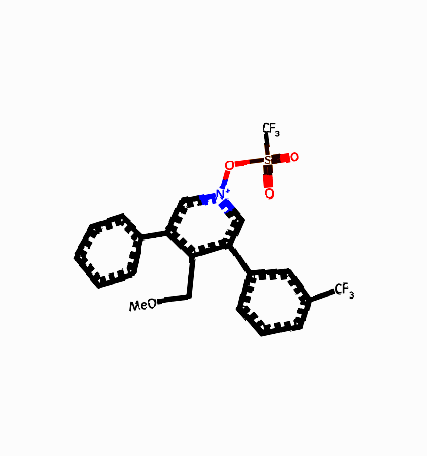 COCc1c(-c2ccccc2)c[n+](OS(=O)(=O)C(F)(F)F)cc1-c1cccc(C(F)(F)F)c1